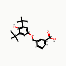 CC(C)(C)c1cc(OCc2cccc(C(=O)O)c2)cc(C(C)(C)C)c1O